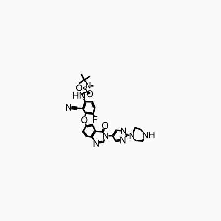 CN(C(C)(C)C)S(=O)(=O)Nc1ccc(F)c(Oc2ccc3ncn(-c4cnc(N5CCNCC5)nc4)c(=O)c3c2)c1C#N